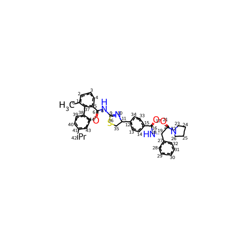 Cc1cccc(C(=O)NC2=NC(c3ccc(C(=O)N[C@H](C(=O)N4CCCC4)c4ccccc4)cc3)CS2)c1-c1ccc(C(C)C)cc1